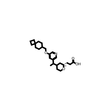 CC(c1cncc(OCC2CCC3(CCC3)CC2)c1)C1CCO[C@@H](CCC(=O)O)C1